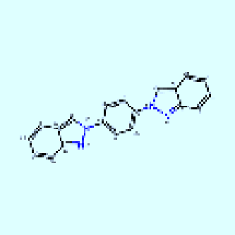 c1ccc2nn(-c3ccc(-n4cc5ccccc5n4)cc3)cc2c1